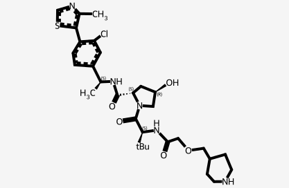 Cc1ncsc1-c1ccc([C@H](C)NC(=O)[C@@H]2C[C@@H](O)CN2C(=O)[C@@H](NC(=O)COCC2CCNCC2)C(C)(C)C)cc1Cl